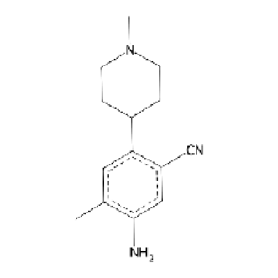 Cc1cc(C2CCN(C)CC2)c(C#N)cc1N